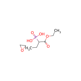 C1CO1.CCOC(=O)C(CC)P(=O)(O)O